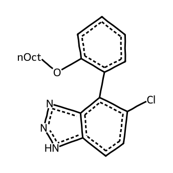 CCCCCCCCOc1ccccc1-c1c(Cl)ccc2[nH]nnc12